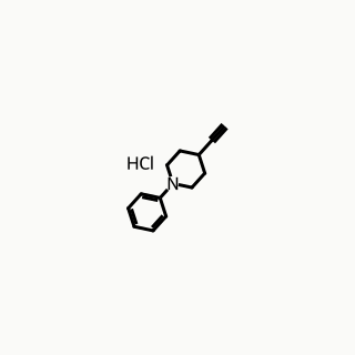 C#CC1CCN(c2ccccc2)CC1.Cl